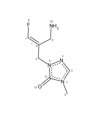 Cn1cnn(C/C(=C/F)CN)c1=O